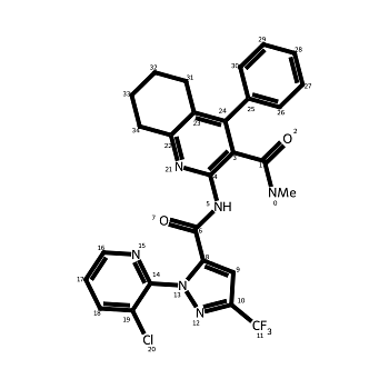 CNC(=O)c1c(NC(=O)c2cc(C(F)(F)F)nn2-c2ncccc2Cl)nc2c(c1-c1ccccc1)CCCC2